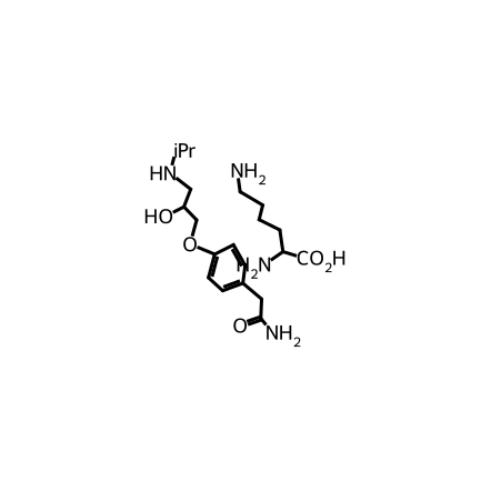 CC(C)NCC(O)COc1ccc(CC(N)=O)cc1.NCCCCC(N)C(=O)O